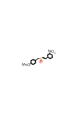 COc1ccc(C[S+]([O-])/C=C/c2cccc([N+](=O)[O-])c2)cc1